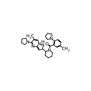 CC1=CN2NC(C3CCCCN3C(=O)c3cc(C)ccc3N3CCCS3)C=C2N=C1N1CCCC1